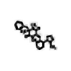 CN1C(=O)C(C)(Cc2ccccc2)N(C)C(=O)/C1=C/c1ccccc1-c1cccn1C